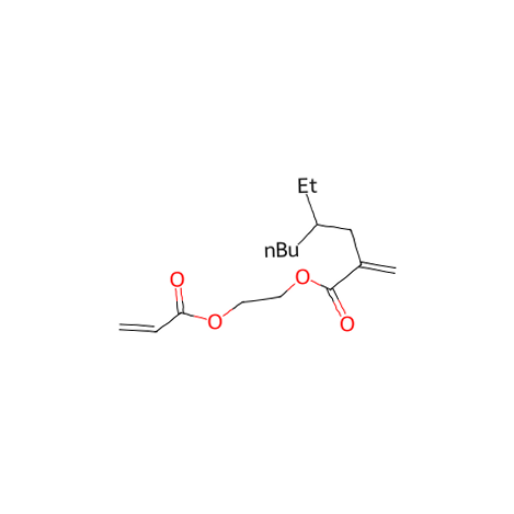 C=CC(=O)OCCOC(=O)C(=C)CC(CC)CCCC